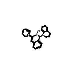 ON1C(N2C=CC=CC2)=Cc2ccccc2C1N1CC=Cc2ccccc21